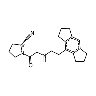 N#C[C@@H]1CCCN1C(=O)CNCCc1c2c(cc3c1CCC3)CCC2